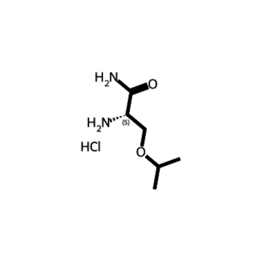 CC(C)OC[C@H](N)C(N)=O.Cl